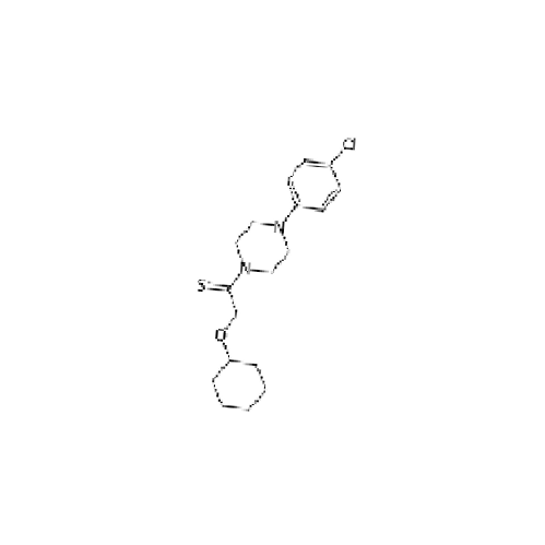 S=C(COC1CCCCC1)N1CCN(c2ccc(Cl)cc2)CC1